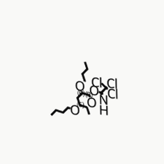 CCCCO[C@H]1C[C@@H](OCCCC)[C@@H](OC(=N)C(Cl)(Cl)Cl)OC1C